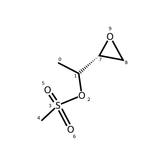 CC(OS(C)(=O)=O)[C@H]1CO1